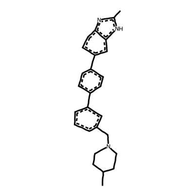 Cc1nc2ccc(-c3ccc(-c4cccc(CN5CCC(C)CC5)c4)cc3)cc2[nH]1